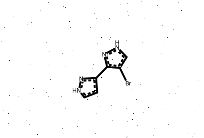 Brc1c[nH]nc1-c1cc[nH]n1